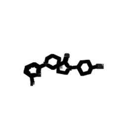 N#CC1CCC(N2CC[C@@]3(CCCN(c4cccc(F)n4)C3)C2=O)CC1